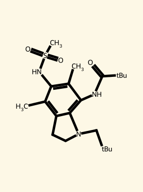 Cc1c2c(c(NC(=O)C(C)(C)C)c(C)c1NS(C)(=O)=O)N(CC(C)(C)C)CC2